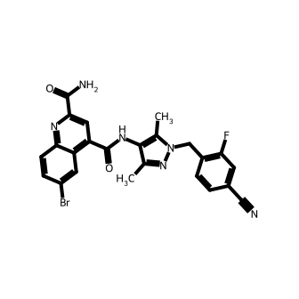 Cc1nn(Cc2ccc(C#N)cc2F)c(C)c1NC(=O)c1cc(C(N)=O)nc2ccc(Br)cc12